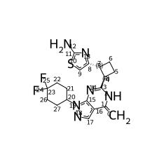 C=C1NC([C@@H]2CC[C@H]2c2csc(N)n2)=Nc2c1cnn2C1CCC(F)(F)CC1